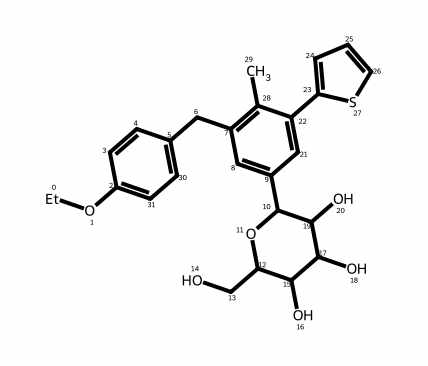 CCOc1ccc(Cc2cc(C3OC(CO)C(O)C(O)C3O)cc(-c3cccs3)c2C)cc1